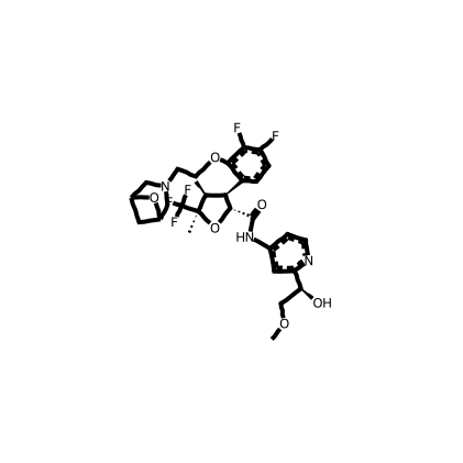 COC[C@H](O)c1cc(NC(=O)[C@@H]2O[C@@](C)(C(F)(F)F)[C@@H](C)[C@H]2c2ccc(F)c(F)c2OCCN2CC3CC(C2)O3)ccn1